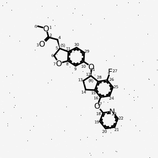 COC(=O)C[C@@H]1COc2cc(O[C@@H]3CCc4c(Oc5ccccn5)ccc(F)c43)ccc21